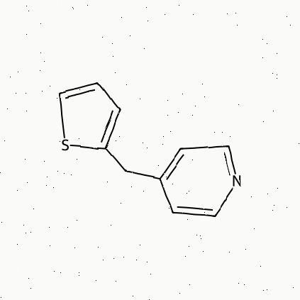 c1csc(Cc2ccncc2)c1